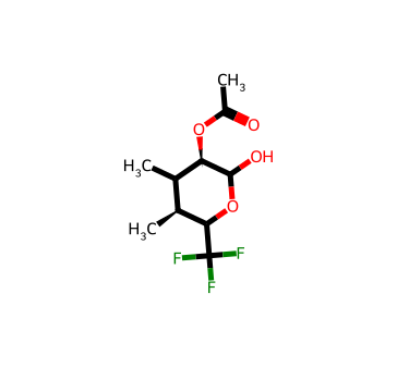 CC(=O)O[C@H]1C(O)OC(C(F)(F)F)[C@@H](C)C1C